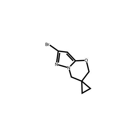 Brc1cc2n(n1)CC1(CC1)CO2